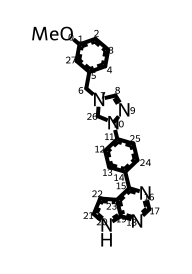 COc1cccc(CN2C=NN(c3ccc(-c4ncnc5[nH]ccc45)cc3)C2)c1